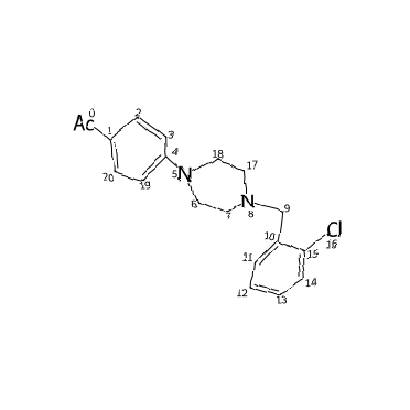 CC(=O)c1ccc(N2CCN(Cc3ccccc3Cl)CC2)cc1